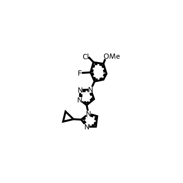 COc1ccc(-n2cc(-n3ccnc3C3CC3)nn2)c(F)c1Cl